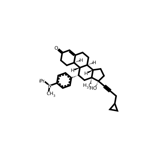 CC(C)N(C)c1ccc([C@H]2C[C@@]3(C)[C@@H](CC[C@@]3(O)C#CCC3CC3)[C@@H]3CCC4=CC(=O)CC[C@@H]4[C@H]32)cc1